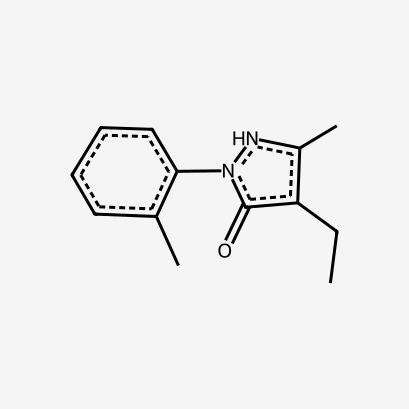 CCc1c(C)[nH]n(-c2ccccc2C)c1=O